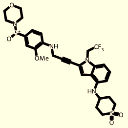 COc1cc([S+]([O-])N2CCOCC2)ccc1NCC#Cc1cc2c(NC3CCS(=O)(=O)CC3)cccc2n1CC(F)(F)F